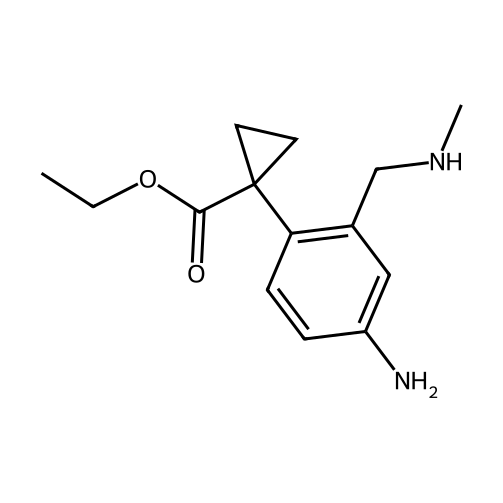 CCOC(=O)C1(c2ccc(N)cc2CNC)CC1